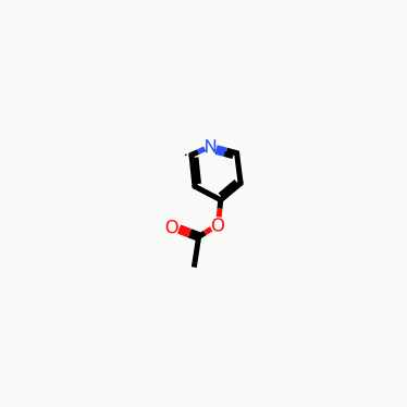 CC(=O)Oc1c[c]ncc1